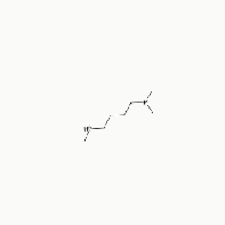 CPCCCCP(C)C